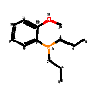 CCCP(CCC)c1ccccc1OC